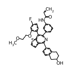 C=CC(=O)Nc1cccc(-c2nc(-c3ccc4c(c3)CCC(O)C4)c3ccsc3c2-c2ccc(F)cc2OCCOC)c1